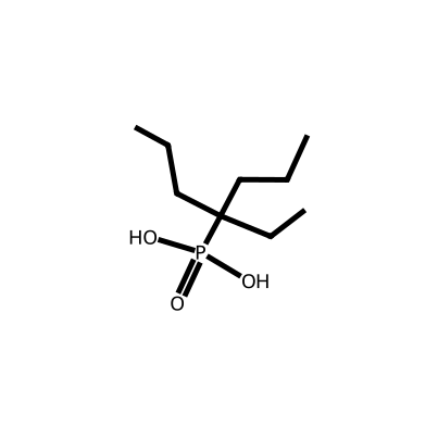 CCCC(CC)(CCC)P(=O)(O)O